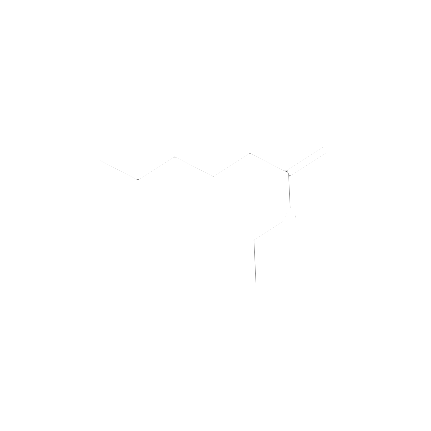 [CH]=C(CCCCC)OCC